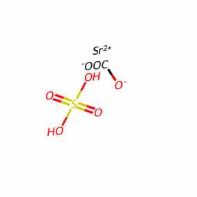 O=C([O-])[O-].O=S(=O)(O)O.[Sr+2]